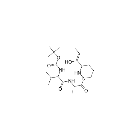 C/C=C(\O)C1CCCN(C(=O)[C@H](C)NC(=O)C(NC(=O)OC(C)(C)C)C(C)C)N1